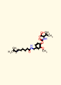 COc1cc(CNC(=O)CCCC/C=C/C(C)C)ccc1OC(=O)N[C@H](C(=O)O)C(C)C